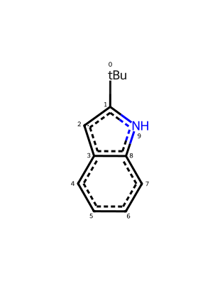 CC(C)(C)c1[c]c2ccccc2[nH]1